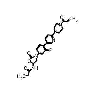 C=CC(=O)N1CCN(c2ccc(-c3ccc(N4CC(NC(=O)CC)OC4=O)cc3F)cn2)CC1